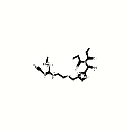 CCC(=O)N(C(=N)c1nc(CSCCN/C(=N/C#N)NNC)cs1)C(=O)CC